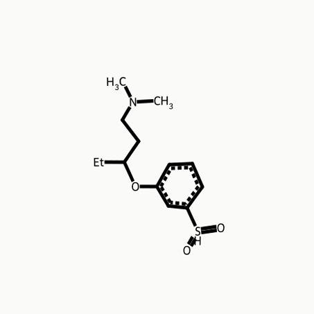 CCC(CCN(C)C)Oc1cccc([SH](=O)=O)c1